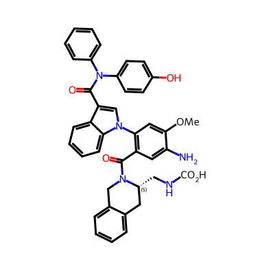 COc1cc(-n2cc(C(=O)N(c3ccccc3)c3ccc(O)cc3)c3ccccc32)c(C(=O)N2Cc3ccccc3C[C@H]2CNC(=O)O)cc1N